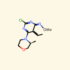 C/C=C1/C(N2CCOC[C@@H]2C)=NC(Cl)=N/C1=N/OC